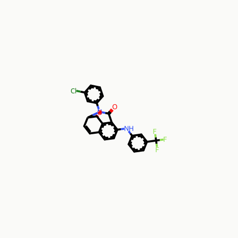 O=C1c2c3ccc(Nc4cccc(C(F)(F)F)c4)c2C(=O)N(c2cccc(Cl)c2)C1C=C3